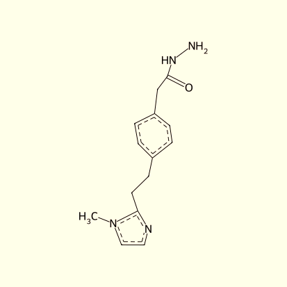 Cn1ccnc1CCc1ccc(CC(=O)NN)cc1